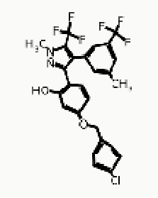 Cc1cc(-c2c(-c3ccc(OCc4ccc(Cl)cc4)cc3O)nn(C)c2C(F)(F)F)cc(C(F)(F)F)c1